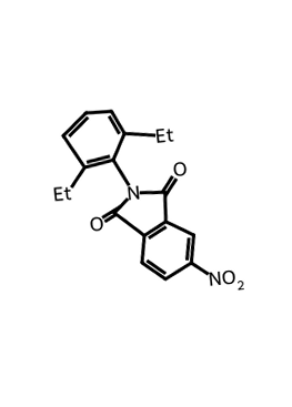 CCc1cccc(CC)c1N1C(=O)c2ccc([N+](=O)[O-])cc2C1=O